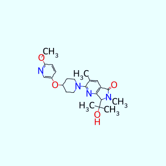 COc1ccc(OC2CCN(c3nc4c(cc3C)C(=O)N(C)C4C(C)(C)O)CC2)cn1